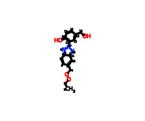 CCOOCc1ccc2nn(-c3cc(CO)ccc3O)nc2c1